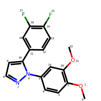 COc1ccc(-n2nccc2-c2ccc(F)c(F)c2)cc1OC